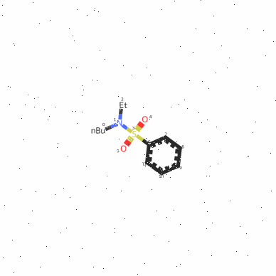 CCCCN(CC)S(=O)(=O)c1cc[c]cc1